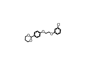 Clc1cccc(OCCOc2ccc(C3OCCCO3)cc2)c1